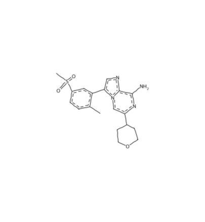 Cc1ccc(S(C)(=O)=O)cc1-c1cnc2c(N)nc(C3CCOCC3)cn12